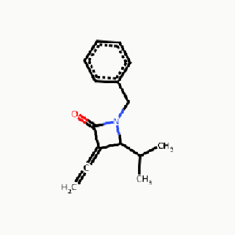 C=C=C1C(=O)N(Cc2ccccc2)C1C(C)C